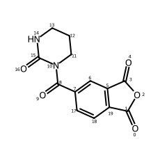 O=C1OC(=O)c2cc(C(=O)N3CCCNC3=O)ccc21